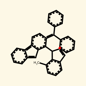 Cc1cccc2c1C(c1c3c(ccc1=C(c1ccccc1)c1ccccc1)=c1ccccc1=[C]3)C=C2